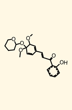 COC1C=C(C=CC(=O)c2ccccc2O)C=CC1(OC)OC1CCCCO1